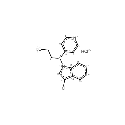 CCCN(c1ccncc1)n1cc(Cl)c2ccccc21.Cl